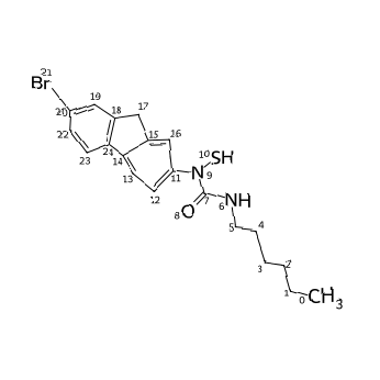 CCCCCCNC(=O)N(S)c1ccc2c(c1)Cc1cc(Br)ccc1-2